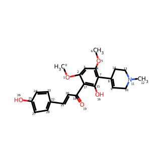 COc1cc(OC)c(C2=CCN(C)CC2)c(O)c1C(=O)/C=C/c1ccc(O)cc1